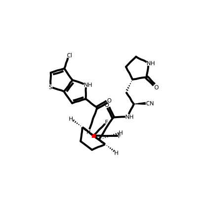 N#C[C@H](C[C@@H]1CCNC1=O)NC(=O)[C@H]1[C@H]2CC[C@H](CC2(F)F)N1C(=O)c1cc2scc(Cl)c2[nH]1